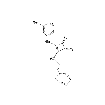 O=c1c(NCCc2ccccc2)c(Nc2cncc(Br)c2)c1=O